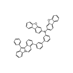 c1ccc(-c2c3ccccc3n3ccc4c(-c5cccc(-c6cccc(N(c7ccc8c(c7)oc7ccccc78)c7ccc8c(c7)oc7ccccc78)c6)c5)cccc4c23)cc1